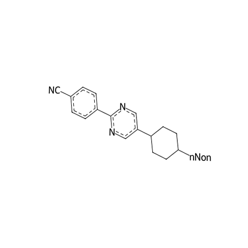 CCCCCCCCCC1CCC(c2cnc(-c3ccc(C#N)cc3)nc2)CC1